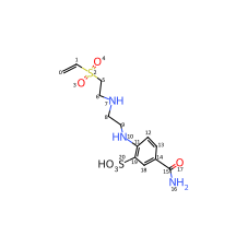 C=CS(=O)(=O)CCNCCNc1ccc(C(N)=O)cc1S(=O)(=O)O